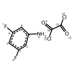 Nc1cc(F)cc(F)c1.O=C(Cl)C(=O)Cl